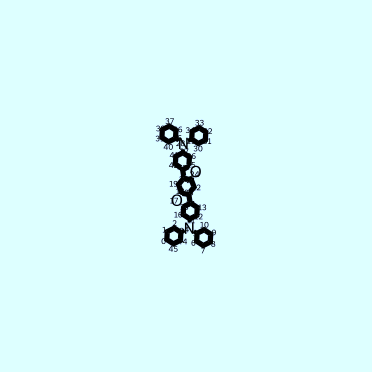 c1ccc(N(c2ccccc2)c2ccc3c(c2)oc2cc4c(cc23)oc2cc(N(c3ccccc3)c3ccccc3)ccc24)cc1